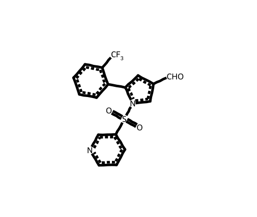 O=Cc1cc(-c2ccccc2C(F)(F)F)n(S(=O)(=O)c2cccnc2)c1